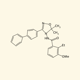 CCc1c(OC)cccc1C(=O)NN1C(c2ccc(-c3ccccc3)cc2)=NOC1(C)C